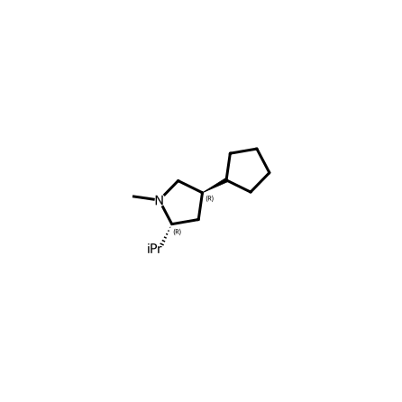 CC(C)[C@H]1C[C@H](C2CCCC2)CN1C